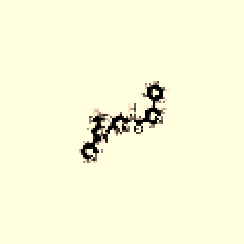 O=C(Nc1ccc(-n2nc(-c3cccnc3)cc2C(F)(F)F)nn1)c1cncc(-c2ccccc2)c1